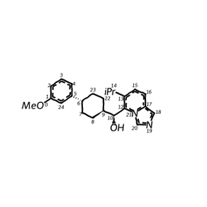 COc1cccc([C@H]2CC[C@H]([C@H](O)c3c(C(C)C)ccc4cncn34)CC2)c1